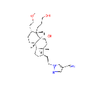 COCC[C@H]1CC[C@@H]2[C@H]([C@H](O)C[C@]3(C)[C@@H](CCn4cc(C#N)cn4)CC[C@@H]23)[C@@]1(C)CCCO